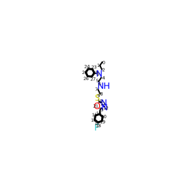 CCCN(CCNCCSc1nnc(-c2ccc(F)cc2)o1)c1ccccc1